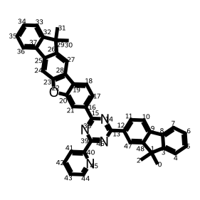 CC1(C)c2ccccc2-c2ccc(-c3nc(-c4ccc5c(c4)oc4cc6c(cc45)C(C)(C)c4ccccc4-6)nc(-c4ccccn4)n3)cc21